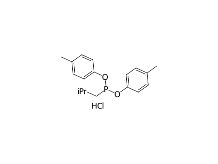 Cc1ccc(OP(CC(C)C)Oc2ccc(C)cc2)cc1.Cl